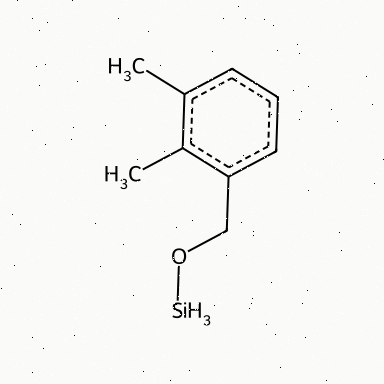 Cc1cccc(CO[SiH3])c1C